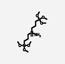 CO[Si](CCC[SiH](N)CCC[Si](OC)(OC)OC)(OC)OC